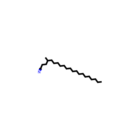 CCCCCCCCCCCCCCCCCC(C)CCC#N